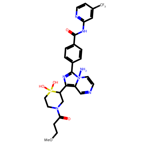 COCCC(=O)N1CCS(O)(O)C(C2=C3C=NC=C[N+]3(N)C(c3ccc(C(=O)Nc4cc(C(F)(F)F)ccn4)cc3)=N2)C1